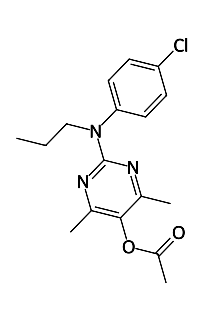 CCCN(c1ccc(Cl)cc1)c1nc(C)c(OC(C)=O)c(C)n1